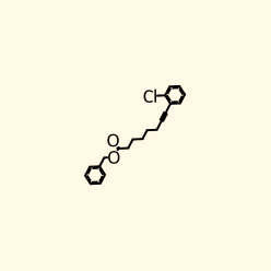 O=C(CCCCCC#Cc1ccccc1Cl)OCc1ccccc1